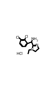 CCN1CCN=C1C(N)c1cccc(Cl)c1Cl.Cl